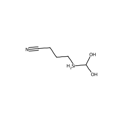 N#CCCC[SiH2]C(O)O